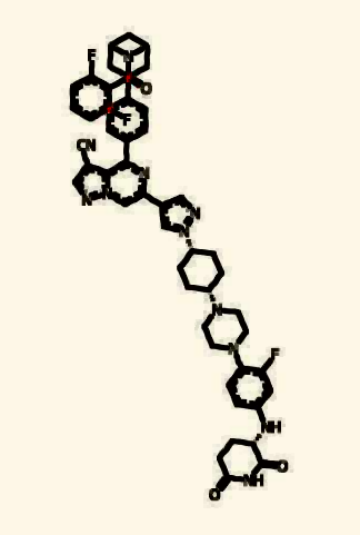 N#Cc1cnn2cc(-c3cnn([C@H]4CC[C@@H](N5CCN(c6ccc(N[C@H]7CCC(=O)NC7=O)cc6F)CC5)CC4)c3)nc(-c3ccc(N4CC5CC(C4)N5C(=O)c4c(F)cccc4F)nc3)c12